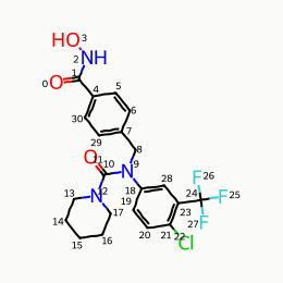 O=C(NO)c1ccc(CN(C(=O)N2CCCCC2)c2ccc(Cl)c(C(F)(F)F)c2)cc1